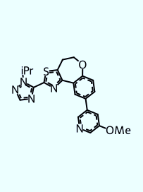 COc1cncc(-c2ccc3c(c2)-c2nc(-c4ncnn4C(C)C)sc2CCO3)c1